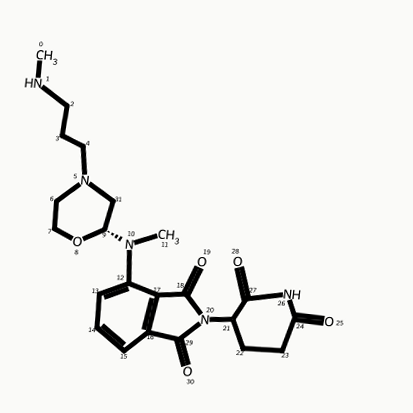 CNCCCN1CCO[C@@H](N(C)c2cccc3c2C(=O)N(C2CCC(=O)NC2=O)C3=O)C1